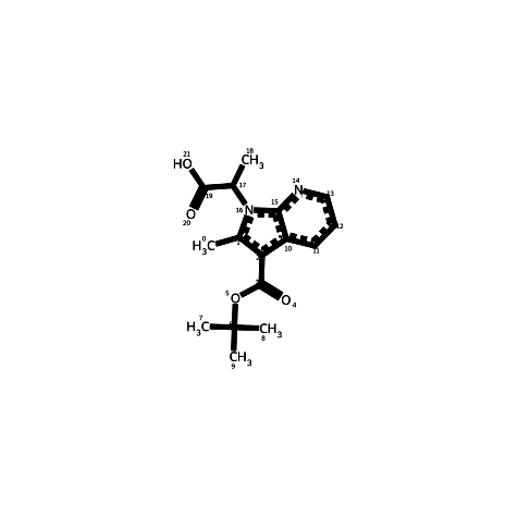 Cc1c(C(=O)OC(C)(C)C)c2cccnc2n1C(C)C(=O)O